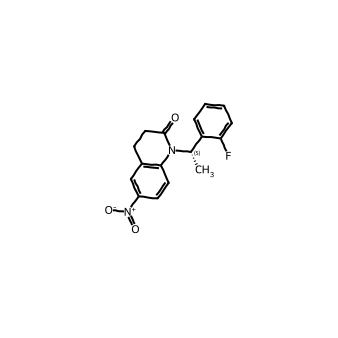 C[C@@H](c1ccccc1F)N1C(=O)CCc2cc([N+](=O)[O-])ccc21